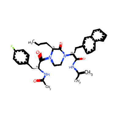 CCC[C@H]1C(=O)N([C@@H](Cc2ccc3ccccc3c2)C(=O)NC(C)C)CCN1C(=O)[C@@H](Cc1ccc(F)cc1)NC(C)=O